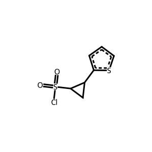 O=S(=O)(Cl)C1CC1c1cccs1